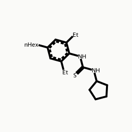 CCCCCCc1cc(CC)c(NC(=S)NC2CCCC2)c(CC)c1